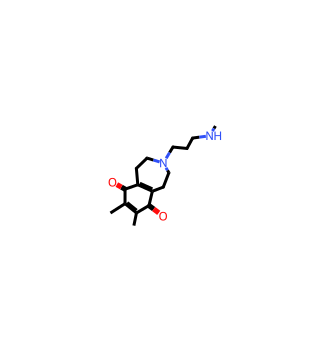 CNCCCN1CCC2=C(CC1)C(=O)C(C)=C(C)C2=O